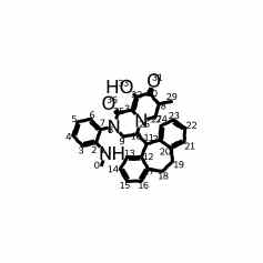 CNc1ccccc1N1CC(C2c3ccccc3CCc3ccccc32)N2CC(C)C(=O)C(O)=C2C1=O